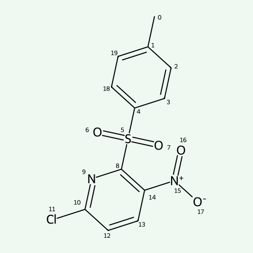 Cc1ccc(S(=O)(=O)c2nc(Cl)ccc2[N+](=O)[O-])cc1